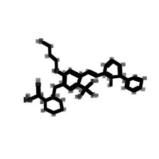 Cc1c(C=Cc2cc(OCCCF)c(CN3CCCCC3C(=O)O)cc2C(F)(F)F)cccc1-c1ccccc1